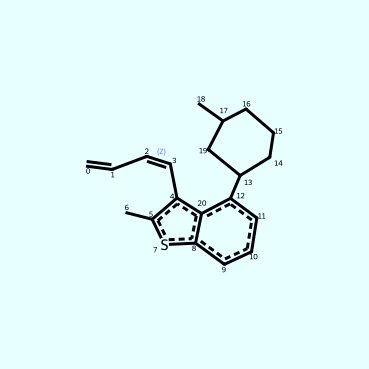 C=C/C=C\c1c(C)sc2cccc(C3CCCC(C)C3)c12